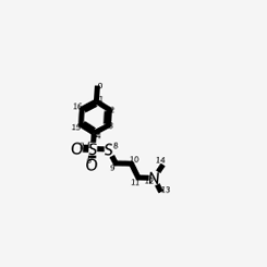 Cc1ccc(S(=O)(=O)SCCCN(C)C)cc1